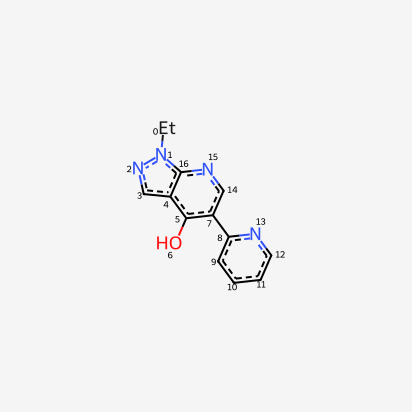 CCn1ncc2c(O)c(-c3ccccn3)cnc21